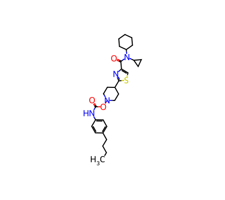 CCCCc1ccc(NC(=O)ON2CCC(c3nc(C(=O)N(C4CCCCC4)C4CC4)cs3)CC2)cc1